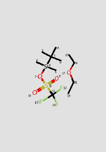 CC(C)(C)[Si](C)(C)OS(=O)(=O)C(F)(F)F.CCOCC